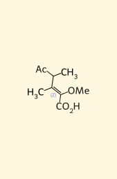 CO/C(C(=O)O)=C(/C)C(C)C(C)=O